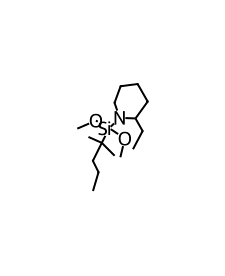 CCCC(C)(C)[Si](OC)(OC)N1CCCCC1CC